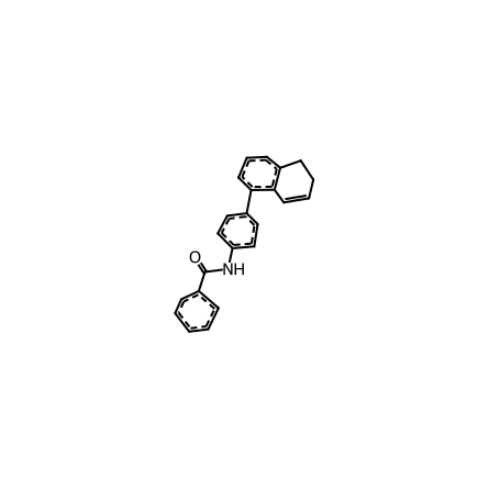 O=C(Nc1ccc(-c2cccc3c2C=CCC3)cc1)c1ccccc1